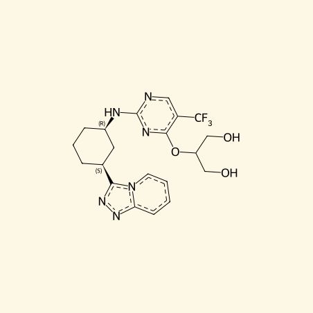 OCC(CO)Oc1nc(N[C@@H]2CCC[C@H](c3nnc4ccccn34)C2)ncc1C(F)(F)F